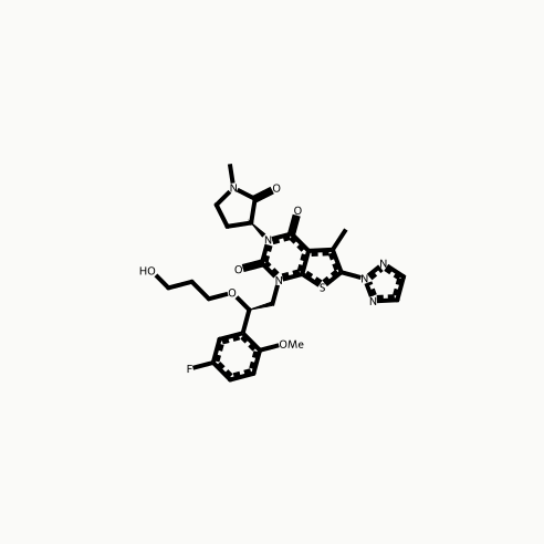 COc1ccc(F)cc1[C@H](Cn1c(=O)n([C@H]2CCN(C)C2=O)c(=O)c2c(C)c(-n3nccn3)sc21)OCCCO